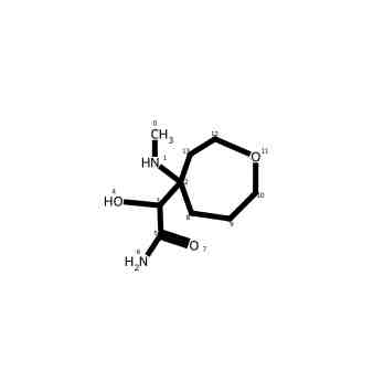 CNC1(C(O)C(N)=O)CCCOCC1